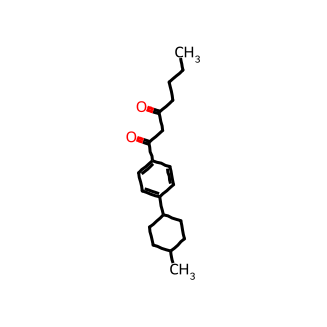 CCCCC(=O)CC(=O)c1ccc(C2CCC(C)CC2)cc1